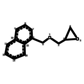 [CH](OCC1CO1)c1cccc2ccccc12